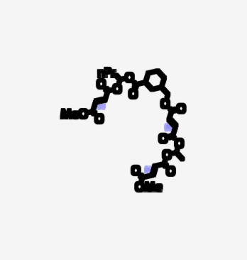 CCCC(OC(=O)/C=C/C(=O)OC)OC(=O)C1CCCC(COC(=O)/C=C/C(=O)OC(C)OC(=O)/C=C/C(=O)OC)C1